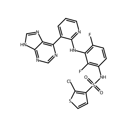 O=S(=O)(Nc1ccc(F)c(Nc2ncccc2-c2ncnc3[nH]cnc23)c1F)c1ccsc1Cl